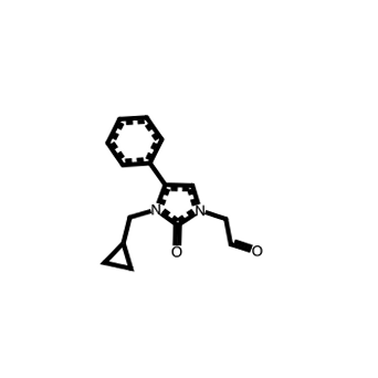 O=CCn1cc(-c2ccccc2)n(CC2CC2)c1=O